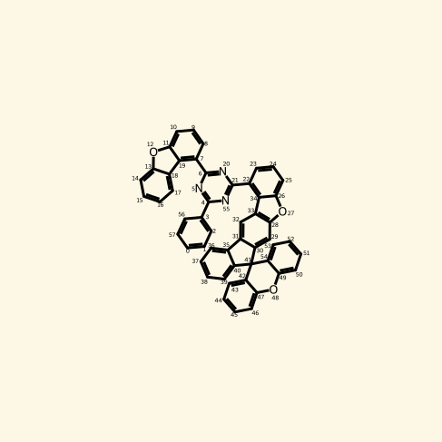 c1ccc(-c2nc(-c3cccc4oc5ccccc5c34)nc(-c3cccc4oc5cc6c(cc5c34)-c3ccccc3C63c4ccccc4Oc4ccccc43)n2)cc1